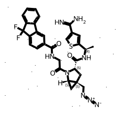 C[C@@H](NC(=O)[C@@H]1C[C@]2(CN=[N+]=[N-])C[C@@H]2N1C(=O)CNC(=O)c1ccc2c(c1)-c1ccccc1C2(F)F)c1cc(C(=N)N)cs1